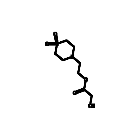 N#CCC(=O)OCCN1CCS(=O)(=O)CC1